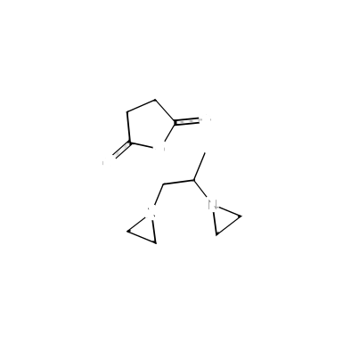 CC(CN1CC1)N1CC1.O=C1CCC(=O)O1